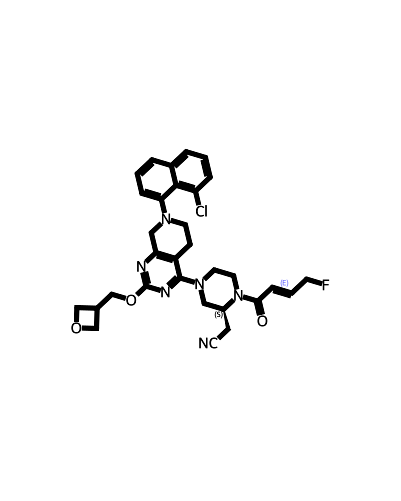 N#CC[C@H]1CN(c2nc(OCC3COC3)nc3c2CCN(c2cccc4cccc(Cl)c24)C3)CCN1C(=O)/C=C/CF